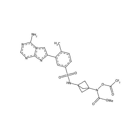 COC(=O)N(OC(=O)C(F)(F)F)C12CC(NS(=O)(=O)c3ccc(C)c(-c4cn5c(N)ncnc5n4)c3)(C1)C2